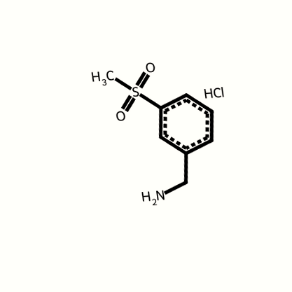 CS(=O)(=O)c1cccc(CN)c1.Cl